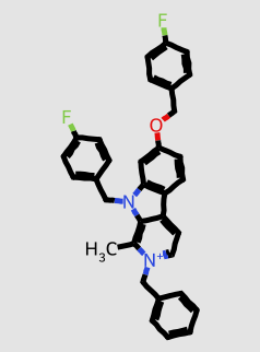 Cc1c2c(cc[n+]1Cc1ccccc1)c1ccc(OCc3ccc(F)cc3)cc1n2Cc1ccc(F)cc1